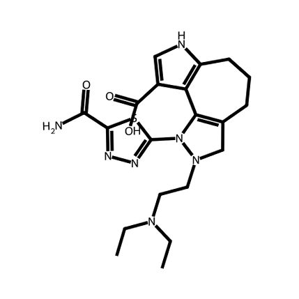 CCN(CC)CCN1CC2=C(c3c(C(=O)O)c[nH]c3CCC2)N1c1nnc(C(N)=O)s1